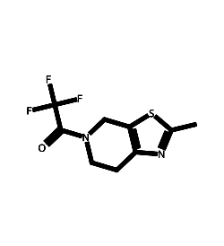 Cc1nc2c(s1)CN(C(=O)C(F)(F)F)CC2